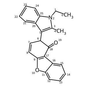 CCn1c(C)c(C2C=Cc3oc4ccccc4c3C2=O)c2ccccc21